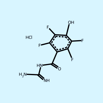 Cl.N=C(N)NC(=O)c1c(F)c(F)c(O)c(F)c1F